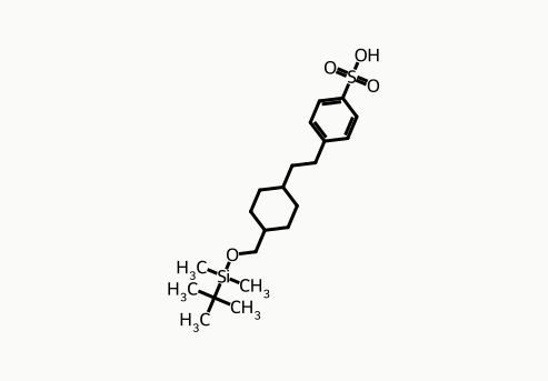 CC(C)(C)[Si](C)(C)OCC1CCC(CCc2ccc(S(=O)(=O)O)cc2)CC1